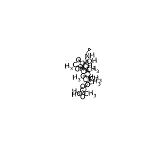 CC(C)C1=C2[C@H]3CCC4[C@@]5(C)CC[C@H](OC(=O)CC(C)(C)C(=O)O)C(C)(C)[C@@H]5CC[C@@]4(C)[C@]3(C)CC[C@@]2([C@H](O)CNCC2CC2)CC1=O